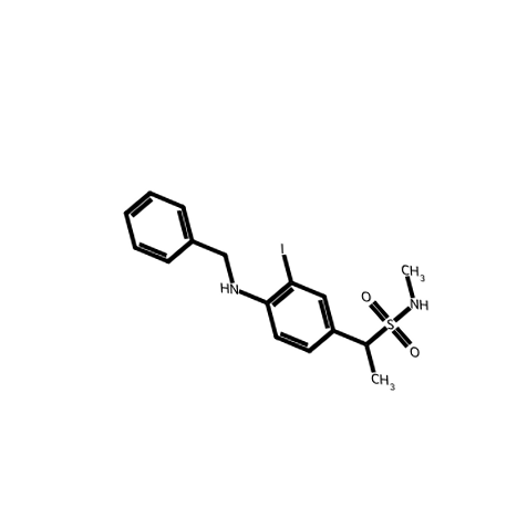 CNS(=O)(=O)C(C)c1ccc(NCc2ccccc2)c(I)c1